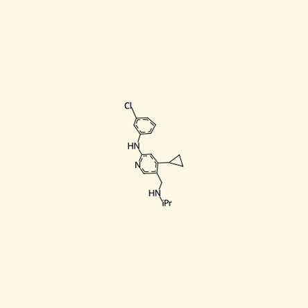 CC(C)NCc1cnc(Nc2cccc(Cl)c2)cc1C1CC1